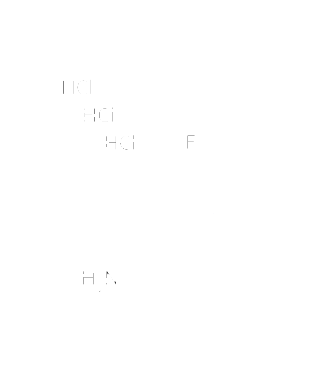 C/C(F)=C/CN.Cl.Cl.Cl